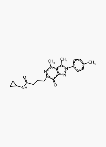 Cc1ccc(-n2nc3c(=O)n(CCCC(=O)NC4CC4)nc(C)c3c2C)cc1